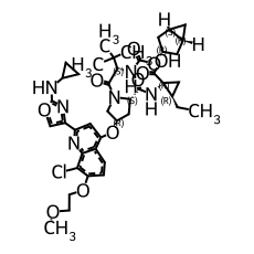 CC[C@@H]1C[C@]1(NC(=O)[C@@H]1C[C@@H](Oc2cc(-c3coc(NC4CC4)n3)nc3c(Cl)c(OCCOC)ccc23)CN1C(=O)[C@@H](NC(=O)O[C@@H]1C[C@@H]2C[C@@H]2C1)C(C)(C)C)C(=O)O